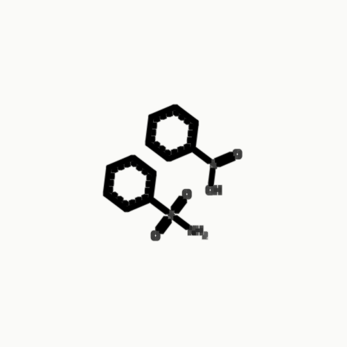 NS(=O)(=O)c1ccccc1.O=S(O)c1ccccc1